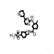 Cc1ccc(C(=O)NCc2ccc(S(N)(=O)=O)cc2)cc1Nc1nccc(-c2cccnc2)n1